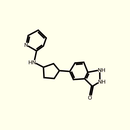 O=c1[nH][nH]c2ccc(C3CCC(Nc4ccccn4)C3)cc12